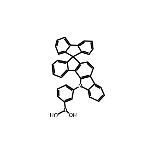 OB(O)c1cccc(-n2c3ccccc3c3ccc4c(c32)-c2ccccc2C42c3ccccc3-c3ccccc32)c1